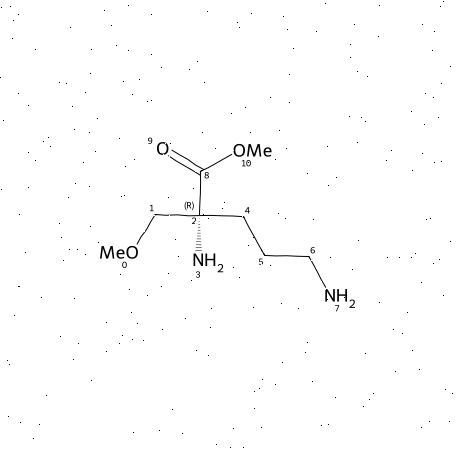 COC[C@](N)(CCCN)C(=O)OC